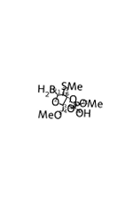 B[C@@H]1O[C@H](COC)[C@@H](OP(=O)(O)OC)C1SC